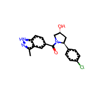 Cc1n[nH]c2ccc(C(=O)N3C[C@H](O)C[C@H]3c3ccc(Cl)cc3)cc12